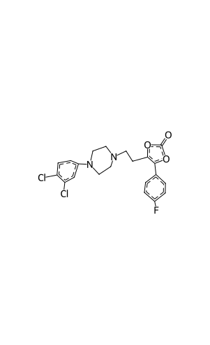 O=c1oc(CCN2CCN(c3ccc(Cl)c(Cl)c3)CC2)c(-c2ccc(F)cc2)o1